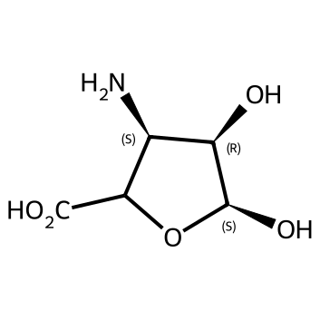 N[C@@H]1C(C(=O)O)O[C@H](O)[C@@H]1O